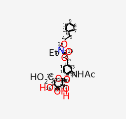 CCN(COCCc1ccccc1)C(=O)OCc1ccc(O[C@H]2OC(C(=O)O)C(O)[C@H](O)C2O)c(NC(C)=O)c1